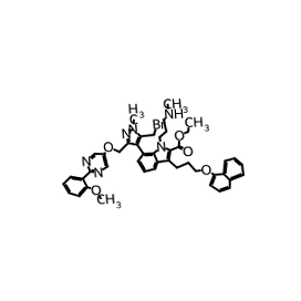 CCOC(=O)c1c(CCCOc2cccc3ccccc23)c2cccc(-c3c(COc4cnc(-c5ccccc5OC)nc4)nn(C)c3CBr)c2n1CCCNC